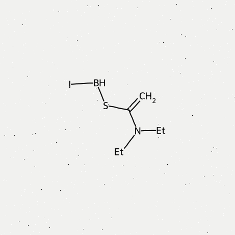 C=C(SBI)N(CC)CC